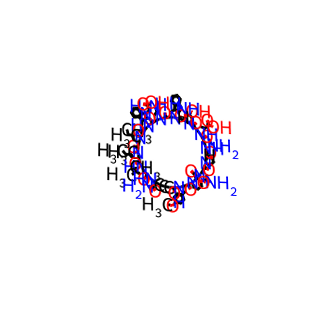 CCCC[C@H]1C(=O)N(C)[C@@H](CCCC)C(=O)N[C@@H](CC(C)C)C(=O)N[C@H](C(N)=O)CCCC(=O)N[C@@H](Cc2ccc(OC)cc2)C(=O)N2CCCC[C@@]23C(=O)N3[C@@H](CC(N)=O)C(=O)N2CCC[C@H]2C(=O)N[C@@H](CN)C(=O)N[C@@H](CCC(=O)O)C(=O)N2C[C@H](O)C[C@H]2C(=O)N[C@@H](Cc2c[nH]c3ccccc23)C(=O)N[C@@H](CCN)C(=O)N[C@@H](Cc2cn(CC(=O)O)c3ccccc23)C(=O)N1C